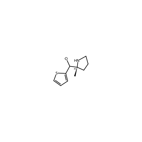 C[C@]1(C([O])c2cccs2)CCCN1